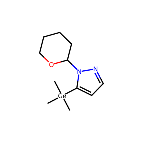 [CH3][Ge]([CH3])([CH3])[c]1ccnn1C1CCCCO1